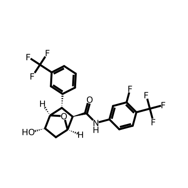 O=C(Nc1ccc(C(F)(F)F)c(F)c1)[C@@H]1[C@@H](c2cccc(C(F)(F)F)c2)[C@H]2O[C@@H]1C[C@@H]2O